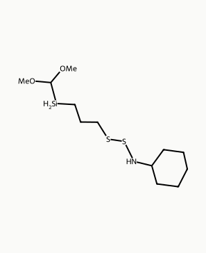 COC(OC)[SiH2]CCCSSNC1CCCCC1